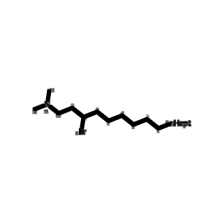 CCCCCCCCCCCCCC(Br)CCN(C)C